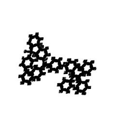 CC1(c2ccccc2)c2ccccc2-c2ccc(N(c3ccc(-c4ccc5c(c4)c(-c4ccccc4)c(-c4ccccc4)c4ccccc45)cc3)c3ccc4ccccc4c3)cc21